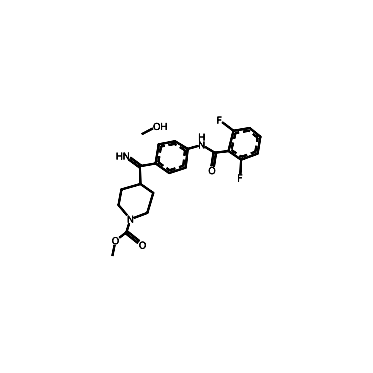 CO.COC(=O)N1CCC(C(=N)c2ccc(NC(=O)c3c(F)cccc3F)cc2)CC1